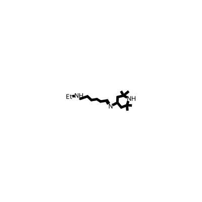 CCNCCCCCC=NC1CC(C)(C)NC(C)(C)C1